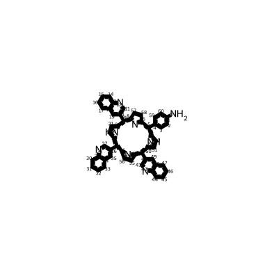 Nc1ccc(-c2c3nc(c(-c4cnc5ccccc5c4)c4ccc([nH]4)c(-c4cnc5ccccc5c4)c4nc(c(-c5cnc6ccccc6c5)c5ccc2[nH]5)C=C4)C=C3)cc1